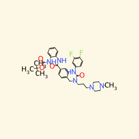 CN1CCN(CCCN(Cc2ccc(C(=O)Nc3ccccc3NC(=O)OC(C)(C)C)cc2)C(=O)Nc2ccc(F)c(F)c2)CC1